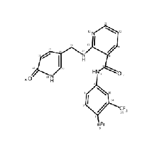 CCCc1ccc(NC(=O)c2cccnc2NCc2ccc(=O)[nH]c2)cc1C(F)(F)F